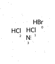 Br.Cl.Cl.[N]